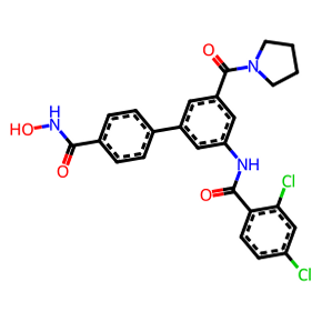 O=C(NO)c1ccc(-c2cc(NC(=O)c3ccc(Cl)cc3Cl)cc(C(=O)N3CCCC3)c2)cc1